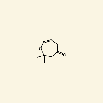 CC1(C)CC(=O)CC=CO1